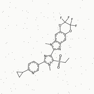 CCS(=O)(=O)c1c(-c2nc3cc4c(cc3n2C)OC(F)(F)C(F)(F)O4)nc(-c2ccc(C3CC3)nc2)n1C